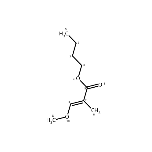 CCCCOC(=O)C(C)=COC